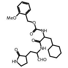 COc1ccccc1COC(=O)NC(CC1CCCCC1)C(=O)NC(C=O)CC1CCNC1=O